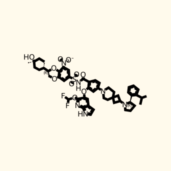 CC(C)c1ccccc1[C@H]1CCCN1C1CC2(CCN(c3ccc(C(=O)NS(=O)(=O)c4cc5c(c([N+](=O)[O-])c4)O[C@H]([C@H]4CC[C@](C)(O)CC4)CO5)c(Oc4cc5cc[nH]c5nc4OC(F)F)c3)CC2)C1